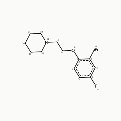 CC(C)c1cc(F)ccc1OCCN1CCCCC1